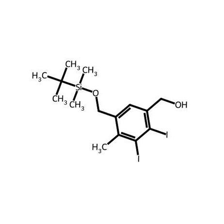 Cc1c(CO[Si](C)(C)C(C)(C)C)cc(CO)c(I)c1I